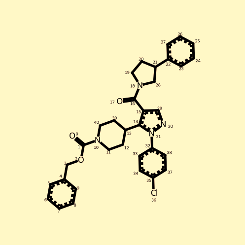 O=C(OCc1ccccc1)N1CCC(c2c(C(=O)N3CCC(c4ccccc4)C3)cnn2-c2ccc(Cl)cc2)CC1